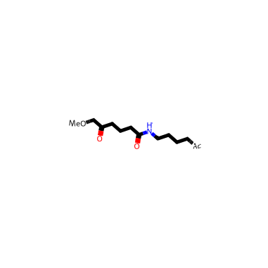 COCC(=O)CCCC(=O)NCCCCC(C)=O